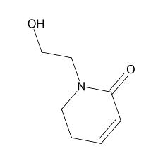 O=C1C=CCCN1CCO